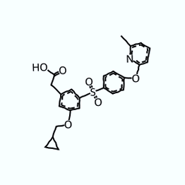 Cc1cccc(Oc2ccc(S(=O)(=O)c3cc(CC(=O)O)cc(OCC4CC4)c3)cc2)n1